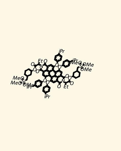 CCC(C(=O)OC1CCCC(C[Si](OC)(OC)OC)C1)N1C(=O)c2cc(Oc3ccc(C(C)C)cc3)c3c4c(Oc5ccc(C(C)C)cc5)cc5c6c(cc(Oc7ccc(C(C)C)cc7)c(c7c(Oc8ccc(C(C)C)cc8)cc(c2c37)C1=O)c64)C(=O)N(C(CC)C(=O)OC1CCCC(C[Si](OC)(OC)OC)C1)C5=O